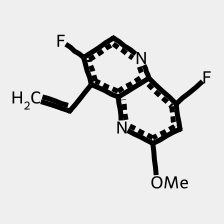 C=Cc1c(F)cnc2c(F)cc(OC)nc12